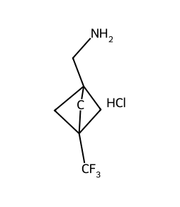 Cl.NCC12CC(C(F)(F)F)(C1)C2